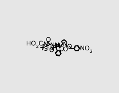 CC1(C)S[C@@H]2C(NC(=O)C(NC(=O)C3CCCN3C(=O)OCc3ccc([N+](=O)[O-])cc3)c3ccccc3)C(=O)N2[C@H]1C(=O)O